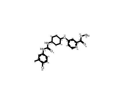 Cc1cc(NC(=O)NC2CCC(Oc3ccnc(C(=O)OC(C)(C)C)c3)CC2)ccc1Cl